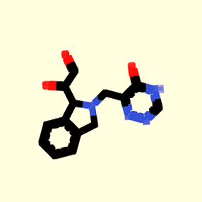 O=CC(=O)C1c2ccccc2CN1Cc1nnc[nH]c1=O